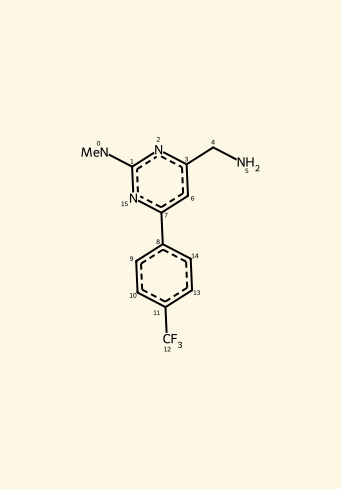 CNc1nc(CN)cc(-c2ccc(C(F)(F)F)cc2)n1